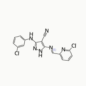 N#Cc1c(Nc2cccc(Cl)c2)n[nH]c1/N=C/c1cccc(Cl)n1